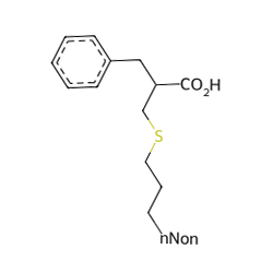 CCCCCCCCCCCCSCC(Cc1ccccc1)C(=O)O